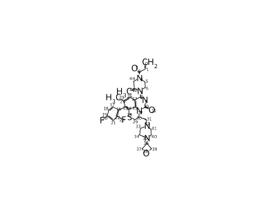 C=CC(=O)N1CCN(c2nc(=O)n3c4c(c(-c5ccc(F)cc5F)c(C)cc24)SC[C@@H]3CN2CCN(C3COC3)CC2)[C@@H](C)C1